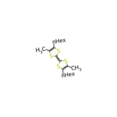 CCCCCCC1=C(C)S/C(=C2/SC(C)=C(CCCCCC)S2)S1